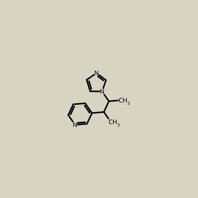 CC(c1cccnc1)C(C)n1ccnc1